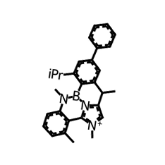 Cc1cccc2c1-c1n3c(c[n+]1C)C(C)c1cc(-c4ccccc4)cc(C(C)C)c1B3N2C